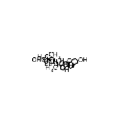 CCN(C=O)C(C)(C)C(C)CCCC(C)[C@H]1CC[C@H]2[C@@H]3CC=C4C[C@@H](O)CC[C@]4(C)[C@H]3CC[C@]12C